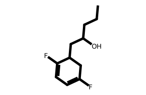 CCCC(O)CC1CC(F)=CC=C1F